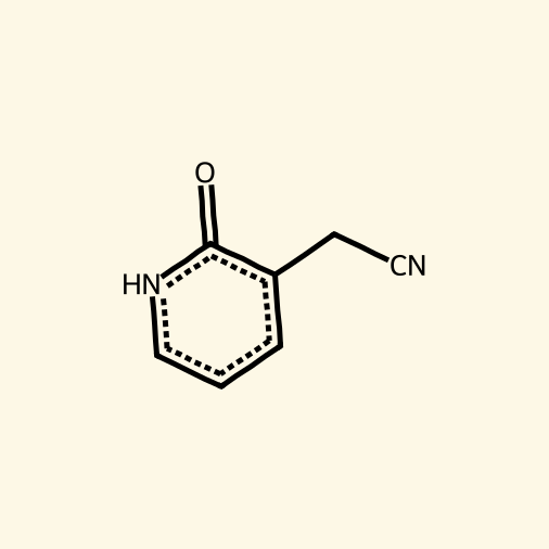 N#CCc1ccc[nH]c1=O